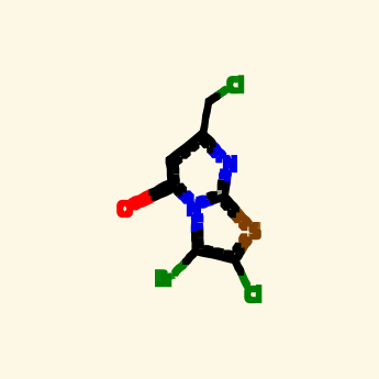 O=c1cc(CCl)nc2sc(Cl)c(Br)n12